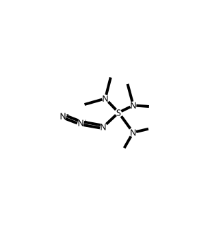 CN(C)S(N=[N+]=[N-])(N(C)C)N(C)C